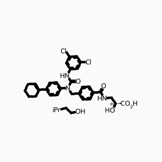 CC(C)CCO.O=C(NC[C@@H](O)C(=O)O)c1ccc(CN(C(=O)Nc2cc(Cl)cc(Cl)c2)c2ccc(C3=CCCCC3)cc2)cc1